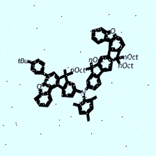 CCCCCCCCC1(CCCCCCCC)c2cc(N(c3ccc4c(c3)C(C)(C)c3cc(-c5ccc(C(C)(C)C)cc5)c5oc6ccccc6c5c3-4)c3c(C)cc(C)cc3C)ccc2-c2cc3c(cc21)-c1c(ccc2oc4ccccc4c12)C3(CCCCCCCC)CCCCCCCC